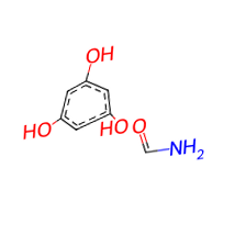 NC=O.Oc1cc(O)cc(O)c1